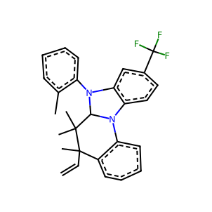 C=CC1(C)c2ccccc2N2c3ccc(C(F)(F)F)cc3N(c3ccccc3C)C2C1(C)C